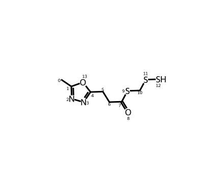 Cc1nnc(CCC(=O)SCSS)o1